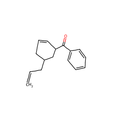 C=CCC1CC=CC(C(=O)c2ccccc2)C1